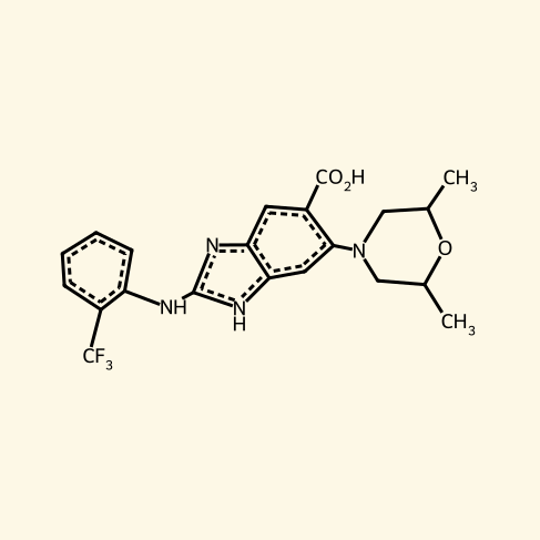 CC1CN(c2cc3[nH]c(Nc4ccccc4C(F)(F)F)nc3cc2C(=O)O)CC(C)O1